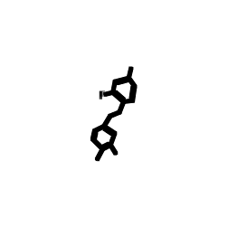 Cc1ccc(CCc2ccc(C)c(C)c2)c(F)c1